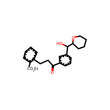 CCOC(=O)c1ccccc1CCC(=O)c1cccc(C(O)C2CCCCO2)c1